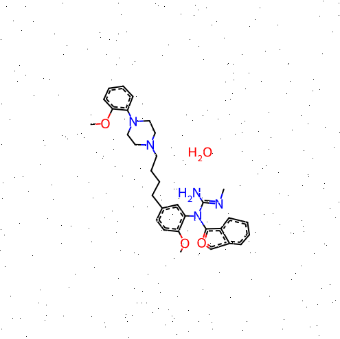 CN=C(N)N(c1cc(CCCCN2CCN(c3ccccc3OC)CC2)ccc1OC)c1occ2ccccc12.O